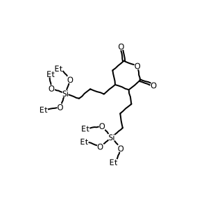 CCO[Si](CCCC1CC(=O)OC(=O)C1CCC[Si](OCC)(OCC)OCC)(OCC)OCC